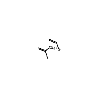 C=C(C)C(=O)O.C=C[O]